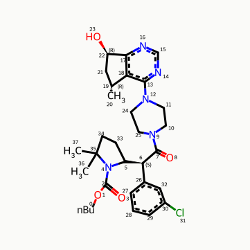 CCCCOC(=O)N1C([C@@H](C(=O)N2CCN(c3ncnc4c3[C@H](C)C[C@H]4O)CC2)c2cccc(Cl)c2)CCC1(C)C